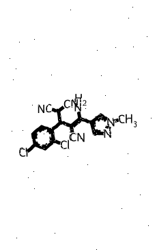 Cn1cc(/C(N)=C(\C#N)C(c2ccc(Cl)cc2Cl)C(C#N)C#N)cn1